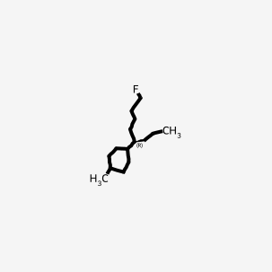 CCC[C@H](CCCCF)C1CCC(C)CC1